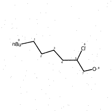 CCCCCCCCC(Cl)C[O]